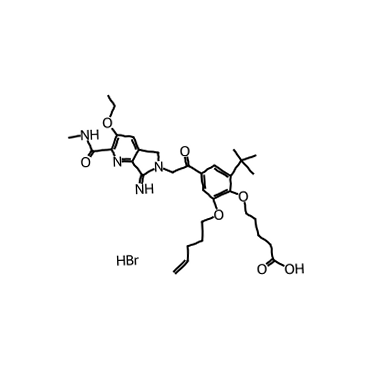 Br.C=CCCCOc1cc(C(=O)CN2Cc3cc(OCC)c(C(=O)NC)nc3C2=N)cc(C(C)(C)C)c1OCCCCC(=O)O